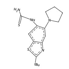 CC(C)(C)c1nc2cc(N3CCCC3)c(NC(N)=S)cc2s1